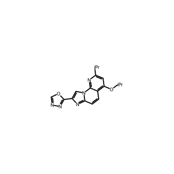 CC(C)Oc1cc(C(C)C)nc2c1ccc1nc(-c3nnco3)cn12